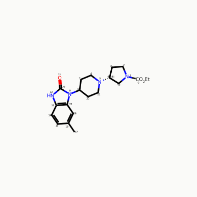 CCOC(=O)N1CC[C@@H](N2CCC(n3c(=O)[nH]c4ccc(C)cc43)CC2)C1